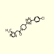 Cn1ncnc1CC(=O)N1CCC(n2nnc(-c3ccc(Cl)cc3)n2)CC1